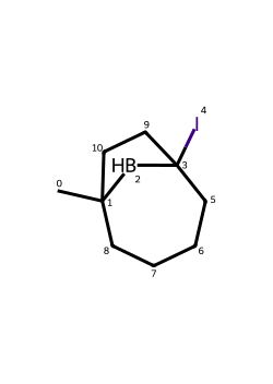 CC12BC(I)(CCCC1)CC2